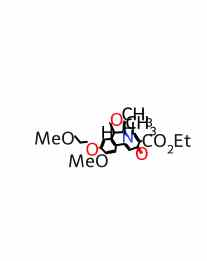 CCOC(=O)c1cn2c(cc1=O)-c1cc(OC)c(OCCCOC)cc1[C@H]1COC(C)(C)[C@H]12